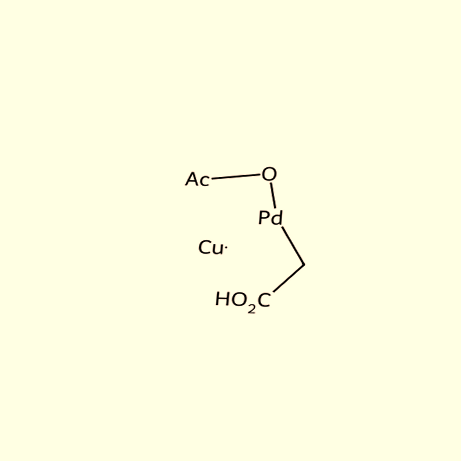 CC(=O)[O][Pd][CH2]C(=O)O.[Cu]